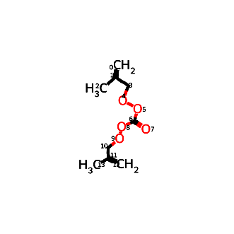 C=C(C)COOC(=O)OOCC(=C)C